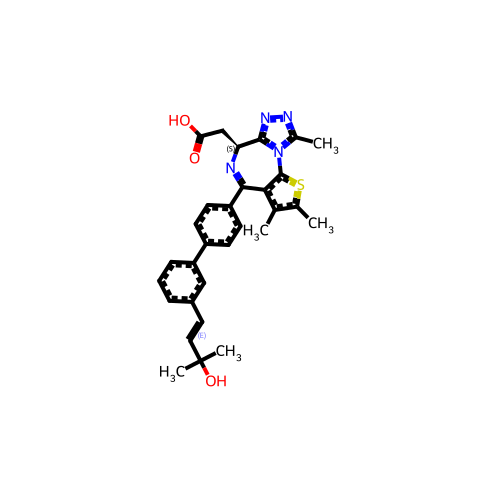 Cc1sc2c(c1C)C(c1ccc(-c3cccc(/C=C/C(C)(C)O)c3)cc1)=N[C@@H](CC(=O)O)c1nnc(C)n1-2